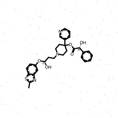 Cc1nc2cc(O[C@H](O)CCN3CCC(OC(=O)[C@H](O)c4ccccc4)(c4cccnc4)CC3)ccc2s1